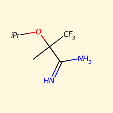 CC(C)OC(C)(C(=N)N)C(F)(F)F